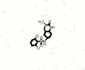 CN1Cc2cc(NS(=O)(=O)c3c(Cl)cccc3Cl)ccc2NC1=O